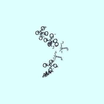 C=C(C)C.C=C(C)C.O.O=S(=O)([O-])[O-].O=S(=O)([O-])[O-].O=S(=O)([O-])[O-].[Al+3].[Al+3]